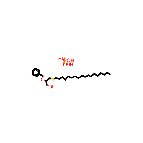 CCCCCCCCCCCCCCCCCCSCC(CO)OCc1ccccc1.O=P(O)(O)O